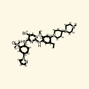 CCc1cc(Nc2ncc(Br)c(Nc3ccc(-n4cccn4)cc3P(C)(C)=O)n2)c(OC)cc1N1CCC(N2CCN(C)CC2)CC1